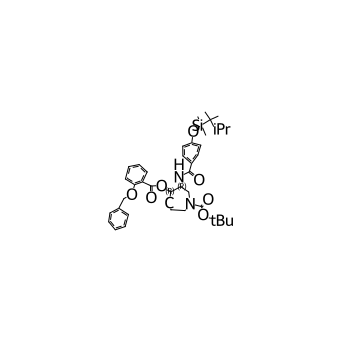 CC(C)C(C)(C)[Si](C)(C)Oc1ccc(C(=O)N[C@@H]2CN(C(=O)OC(C)(C)C)CCC[C@H]2OC(=O)c2ccccc2OCc2ccccc2)cc1